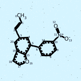 CC=Cc1cc(-c2cccc([N+](=O)[O-])c2)c2occc2c1